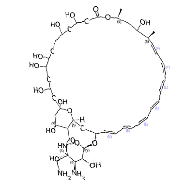 C[C@H]1CC(O)[C@@H](C)/C=C/C=C/C=C/C=C/C=C/C=C/C=C/C(O[C@@H]2OC[C@@H](O)[C@H](N)C2O)C[C@@H]2OC(O)(CC(O)CC(O)C(O)CCC(O)CC(O)CC(=O)O1)C[C@H](O)C2C(=O)NCCN